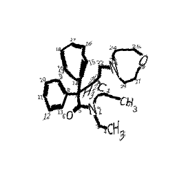 CCN(CC)C(=O)C(c1ccccc1)(c1ccccc1)[C@@H](C)CN1CCOCC1